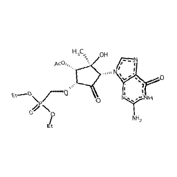 CCOP(=O)(CO[C@H]1C(=O)[C@@H](n2cnc3c(=O)[nH]c(N)nc32)[C@](C)(O)[C@H]1OC(C)=O)OCC